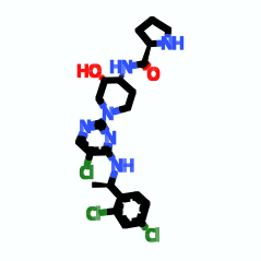 C[C@@H](Nc1nc(N2CC[C@@H](NC(=O)[C@H]3CCCN3)[C@H](O)C2)ncc1Cl)c1ccc(Cl)cc1Cl